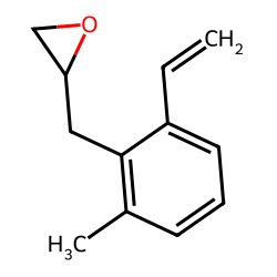 C=Cc1cccc(C)c1CC1CO1